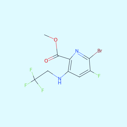 COC(=O)c1nc(Br)c(F)cc1NCC(F)(F)F